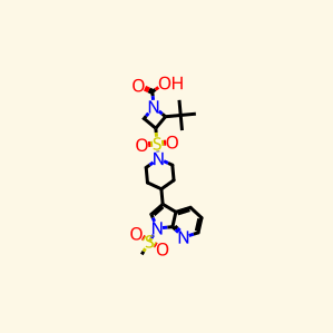 CC(C)(C)C1C(S(=O)(=O)N2CCC(c3cn(S(C)(=O)=O)c4ncccc34)CC2)CN1C(=O)O